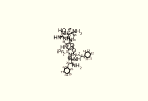 CC(C)C[C@@H](NC(=O)[C@@H](CCc1ccccc1)NC(=O)[C@H](N)Cc1ccccc1)C(=O)N[C@H](CNC(=N)N)C(=O)N1CCC(N)(C(=O)O)CC1